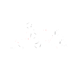 C=C(C)C(=O)CCC(O)COc1ccccc1Cc1cccc(Cc2ccccc2OCC(O)CCC(=O)C(=C)C)c1OCC(O)CCC(=O)C(=C)C